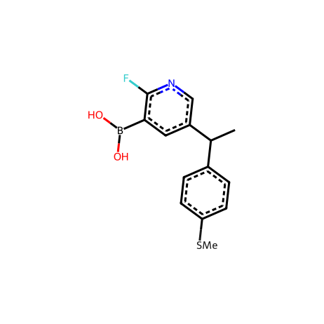 CSc1ccc(C(C)c2cnc(F)c(B(O)O)c2)cc1